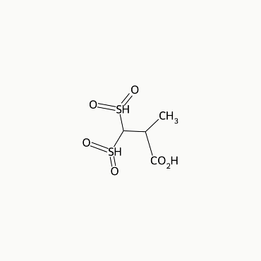 CC(C(=O)O)C([SH](=O)=O)[SH](=O)=O